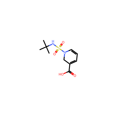 CC(C)(C)NS(=O)(=O)N1C=CC=C(C(=O)O)C1